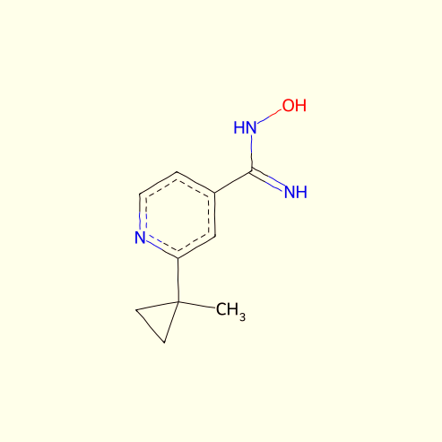 CC1(c2cc(C(=N)NO)ccn2)CC1